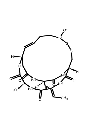 C/C=C1\NC(=O)[C@H]2CSS[S+]([O-])CC/C=C/[C@H](CC(=O)N[C@H](C(C)C)C(=O)N2)OC(=O)[C@H](C(C)C)NC1=O